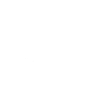 CCCCOc1ccc2c(c1)C(=O)OC2